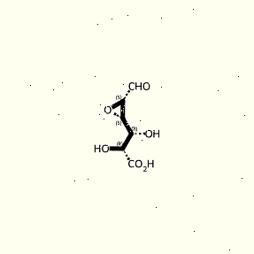 O=C[C@H]1O[C@H]1[C@H](O)[C@@H](O)C(=O)O